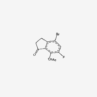 COc1c(F)cc(Br)c2c1C(=O)CC2